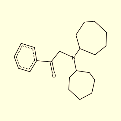 O=C(CN(C1CCCCCC1)C1CCCCCC1)c1ccccc1